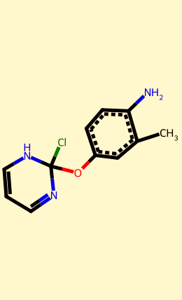 Cc1cc(OC2(Cl)N=CC=CN2)ccc1N